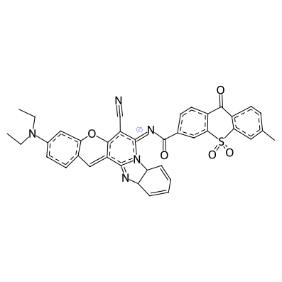 CCN(CC)c1ccc2c(c1)Oc1c(C#N)/c(=N/C(=O)c3ccc4c(c3)S(=O)(=O)c3cc(C)ccc3C4=O)n3c(c1=C2)=NC1C=CC=CC13